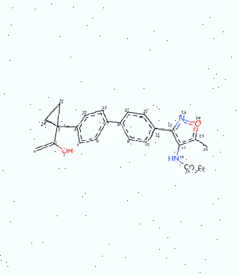 C=C(O)C1(c2ccc(-c3ccc(-c4noc(C)c4NC(=O)OCC)cc3)cc2)CC1